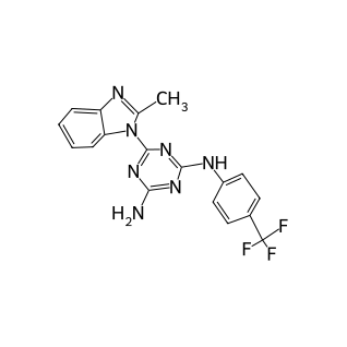 Cc1nc2ccccc2n1-c1nc(N)nc(Nc2ccc(C(F)(F)F)cc2)n1